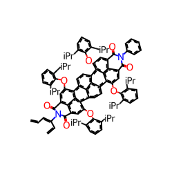 C=C/C=C(\C=C)N1C(=O)c2cc(Oc3c(C(C)C)cccc3C(C)C)c3c4ccc5c6c(Oc7c(C(C)C)cccc7C(C)C)cc7c8c(cc(Oc9c(C(C)C)cccc9C(C)C)c(c9ccc(c%10c(Oc%11c(C(C)C)cccc%11C(C)C)cc(c2c3%10)C1=O)c4c59)c86)C(=O)N(c1ccccc1)C7=O